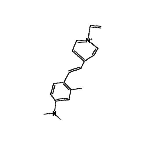 C=C[n+]1ccc(C=Cc2ccc(N(C)C)cc2C)cc1